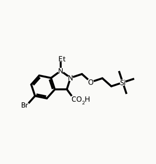 CCN1c2ccc(Br)cc2C(C(=O)O)N1COCC[Si](C)(C)C